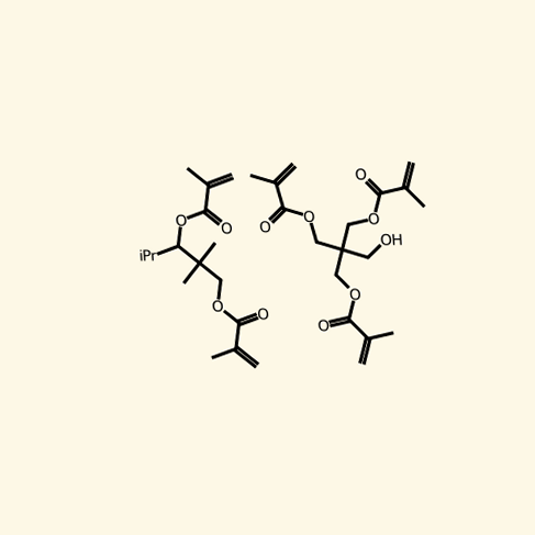 C=C(C)C(=O)OCC(C)(C)C(OC(=O)C(=C)C)C(C)C.C=C(C)C(=O)OCC(CO)(COC(=O)C(=C)C)COC(=O)C(=C)C